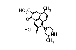 CC1CN(c2c(F)cc3c(=O)c(C(=O)O)cn4c3c2C=CC4C)CCN1.Cl